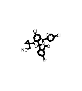 N#CCC1(COC2(c3ccc(Cl)cc3)c3ccc(Br)cc3C(=O)N2Cc2ccc(Cl)cn2)CC1